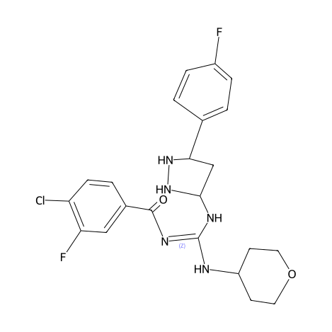 O=C(/N=C(/NC1CCOCC1)NC1CC(c2ccc(F)cc2)NN1)c1ccc(Cl)c(F)c1